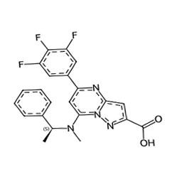 C[C@@H](c1ccccc1)N(C)c1cc(-c2cc(F)c(F)c(F)c2)nc2cc(C(=O)O)nn12